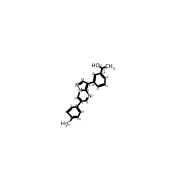 Cc1ccc(-c2cnc3c(-c4cccc(C(C)O)c4)cnn3c2)cc1